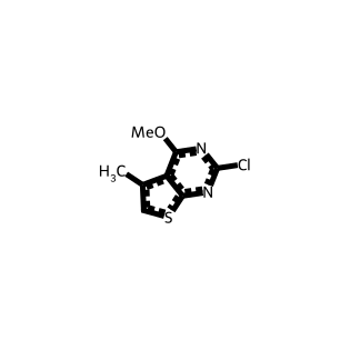 COc1nc(Cl)nc2scc(C)c12